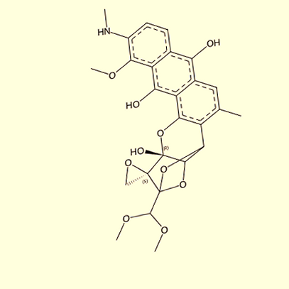 CNc1ccc2c(O)c3cc(C)c4c(c3c(O)c2c1OC)O[C@]1(O)C2OC(C(OC)OC)(OC42)[C@]12CO2